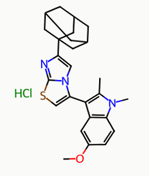 COc1ccc2c(c1)c(-c1csc3nc(C45CC6CC(CC(C6)C4)C5)cn13)c(C)n2C.Cl